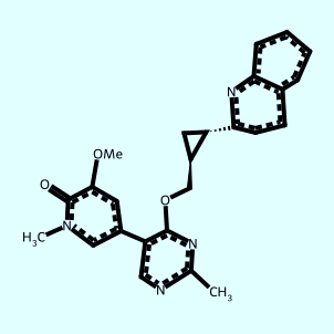 COc1cc(-c2cnc(C)nc2OC[C@H]2C[C@@H]2c2ccc3ccccc3n2)cn(C)c1=O